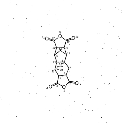 O=C1OC(=O)C2C1CC13CCC2C1C1CC3C2C(=O)OC(=O)C12